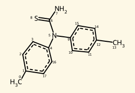 Cc1ccc(N(C(N)=S)c2ccc(C)cc2)cc1